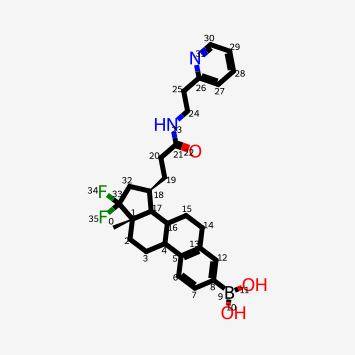 C[C@]12CCC3c4ccc(B(O)O)cc4CCC3C1[C@H](CCC(=O)NCCc1ccccn1)CC2(F)F